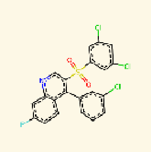 O=S(=O)(c1cc(Cl)cc(Cl)c1)c1cnc2cc(F)ccc2c1-c1cccc(Cl)c1